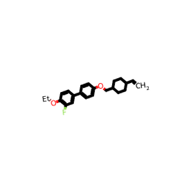 C=CC1CCC(COc2ccc(-c3ccc(OCC)c(F)c3)cc2)CC1